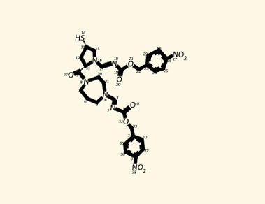 O=C(N=CN1CCCN(C(=O)[C@@H]2C[C@H](S)CN2C=NC(=O)OCc2ccc([N+](=O)[O-])cc2)CC1)OCc1ccc([N+](=O)[O-])cc1